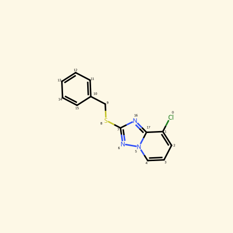 Clc1cccn2nc(SCc3ccccc3)nc12